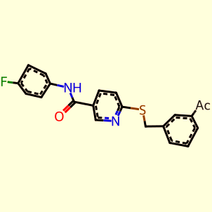 CC(=O)c1cccc(CSc2ccc(C(=O)Nc3ccc(F)cc3)cn2)c1